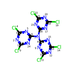 Clc1nc(Cl)nc(N(c2nc(Cl)nc(Cl)n2)c2nc(Cl)nc(Cl)n2)n1